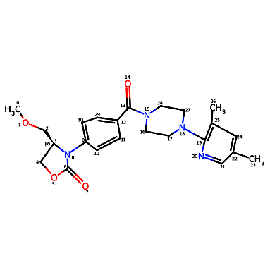 COC[C@@H]1COC(=O)N1c1ccc(C(=O)N2CCN(c3ncc(C)cc3C)CC2)cc1